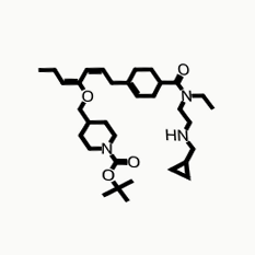 CC/C=C(\C=C/CC1=CCC(C(=O)N(CC)CCNCC2CC2)CC1)OCC1CCN(C(=O)OC(C)(C)C)CC1